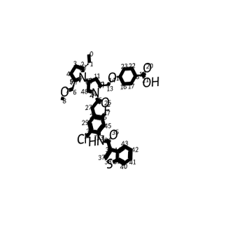 CC[C@H]1CC[C@H](COC)N1[C@H]1C[C@@H](CO[C@H]2CC[C@H](C(=O)O)CC2)N(C(=O)Cc2cc(Cl)c(NC(=O)c3csc4ccccc34)cc2F)C1